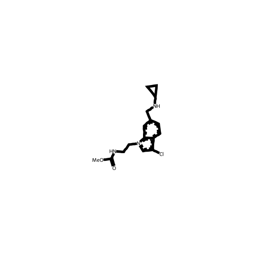 COC(=O)NCCn1cc(Cl)c2ccc(CNC3CC3)cc21